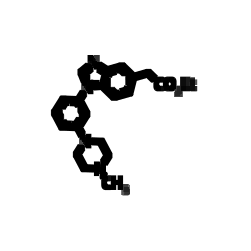 CCOC(=O)Cc1ccc2c(c1)ncn2-c1cccc(N2CCN(C)CC2)c1